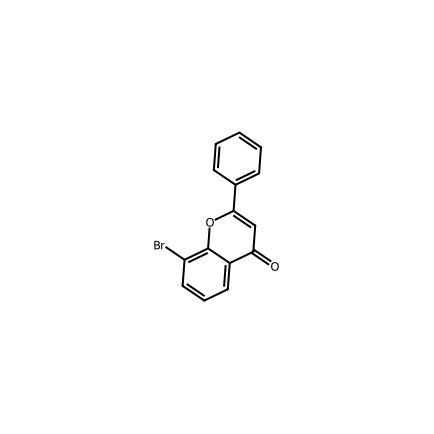 O=c1cc(-c2ccccc2)oc2c(Br)cccc12